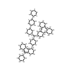 c1ccc(-c2ccc(-c3cccc(N(c4ccc(-c5cccc6c5c5ccccc5n6-c5ccccc5)cc4)c4ccc5c6ccccc6c6ccccc6c5c4)c3)cc2)cc1